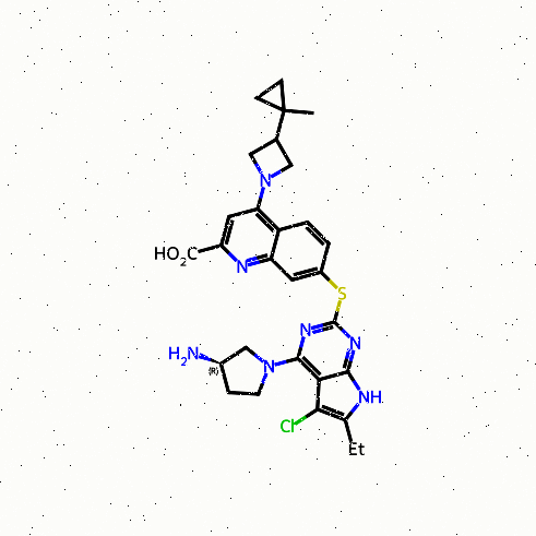 CCc1[nH]c2nc(Sc3ccc4c(N5CC(C6(C)CC6)C5)cc(C(=O)O)nc4c3)nc(N3CC[C@@H](N)C3)c2c1Cl